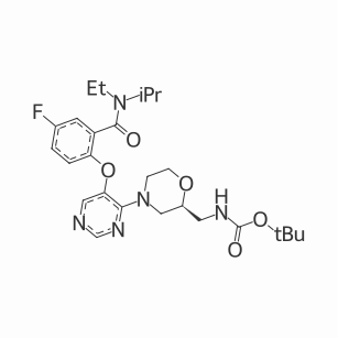 CCN(C(=O)c1cc(F)ccc1Oc1cncnc1N1CCO[C@@H](CNC(=O)OC(C)(C)C)C1)C(C)C